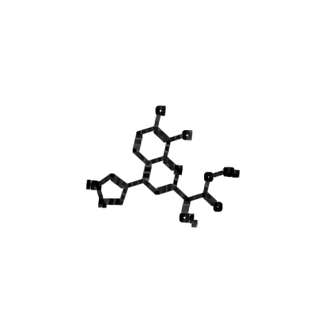 C=C(C(=O)OC(C)(C)C)c1cc(-c2cn[nH]c2)c2ccc(Cl)c(Cl)c2n1